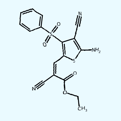 CCOC(=O)C(C#N)=Cc1sc(N)c(C#N)c1S(=O)(=O)c1ccccc1